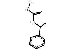 CC(NC(=O)NC(C)(C)C)c1ccccc1